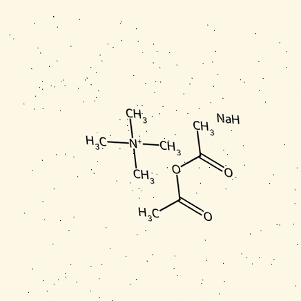 CC(=O)OC(C)=O.C[N+](C)(C)C.[NaH]